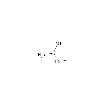 CNC(N)S